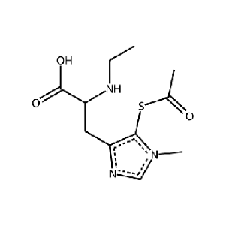 CCNC(Cc1ncn(C)c1SC(C)=O)C(=O)O